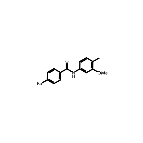 COc1cc(NC(=O)c2ccc(C(C)(C)C)cc2)ccc1C